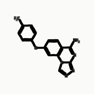 Nc1nc2nncn2c2cc(Oc3ccc(C(F)(F)F)cc3)ccc12